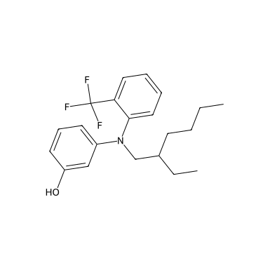 CCCCC(CC)CN(c1cccc(O)c1)c1ccccc1C(F)(F)F